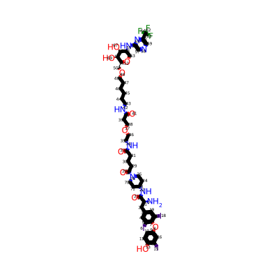 N[C@@H](Cc1cc(I)c(Oc2ccc(O)c(I)c2)c(I)c1)C(=O)NC1CCN(C(=O)CCCC(=O)NCCOCCC(=O)NCCCCCCOC[C@H]2OC[C@H](Nc3cncc(C(F)(F)F)n3)[C@@H](O)[C@H]2O)CC1